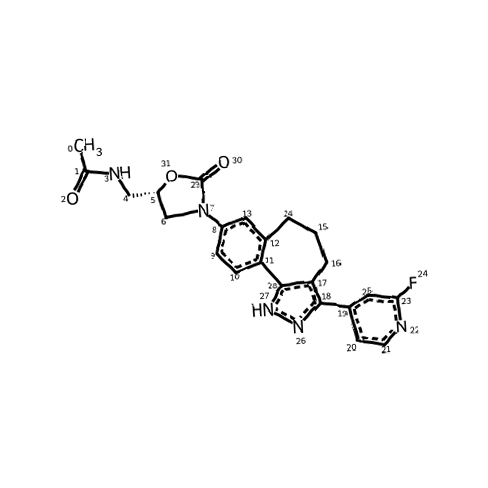 CC(=O)NC[C@H]1CN(c2ccc3c(c2)CCCc2c(-c4ccnc(F)c4)n[nH]c2-3)C(=O)O1